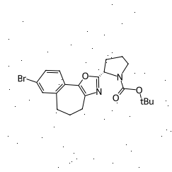 CC(C)(C)OC(=O)N1CCC[C@H]1c1nc2c(o1)-c1ccc(Br)cc1CCC2